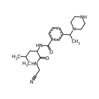 CC(C)CC(NC(=O)c1cccc(C(C)N2CCNCC2)c1)C(=O)NCC#N